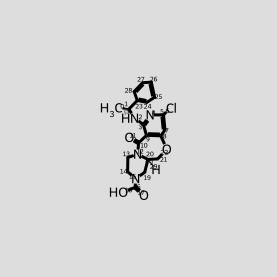 C[C@H](Nc1nc(Cl)cc2c1C(=O)N1CCN(C(=O)O)C[C@@H]1CO2)c1ccccc1